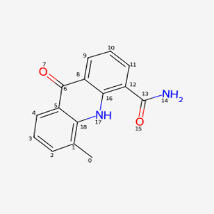 Cc1cccc2c(=O)c3cccc(C(N)=O)c3[nH]c12